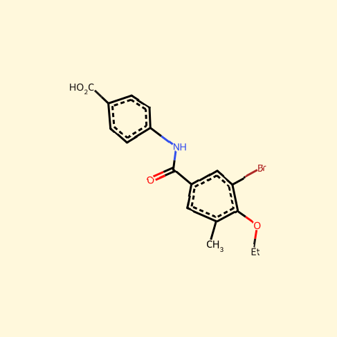 CCOc1c(C)cc(C(=O)Nc2ccc(C(=O)O)cc2)cc1Br